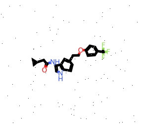 O=C(CC1CC1)Nc1c[nH]c2ccc(CCOc3ccc(C(F)(F)F)cc3)cc12